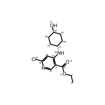 CCOC(=O)c1cnc(Cl)cc1N[C@H]1CC[C@H](O)CC1